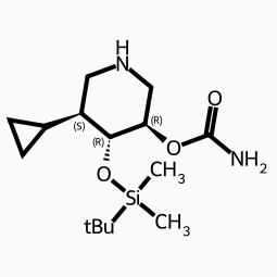 CC(C)(C)[Si](C)(C)O[C@@H]1[C@@H](C2CC2)CNC[C@H]1OC(N)=O